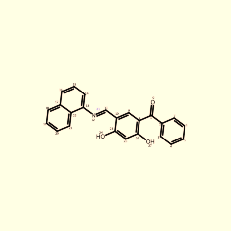 O=C(c1ccccc1)c1cc(/C=N/c2cccc3ccccc23)c(O)cc1O